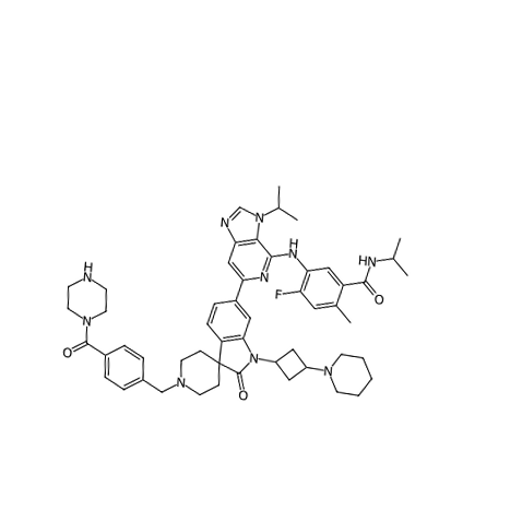 Cc1cc(F)c(Nc2nc(-c3ccc4c(c3)N(C3CC(N5CCCCC5)C3)C(=O)C43CCN(Cc4ccc(C(=O)N5CCNCC5)cc4)CC3)cc3ncn(C(C)C)c23)cc1C(=O)NC(C)C